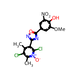 COc1cc(-c2nc(-c3c(C)c(Cl)c(C)[n+]([O-])c3Cl)no2)cc([N+](=O)[O-])c1O